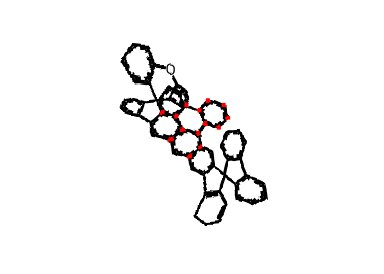 C1=CC2=C(CC1)c1ccc(N(c3ccc4c(c3)C3(c5ccccc5Oc5ccccc53)c3ccccc3-4)c3ccccc3-c3ccccc3-c3ccccc3-c3ccccc3)cc1C21c2ccccc2-c2ccccc21